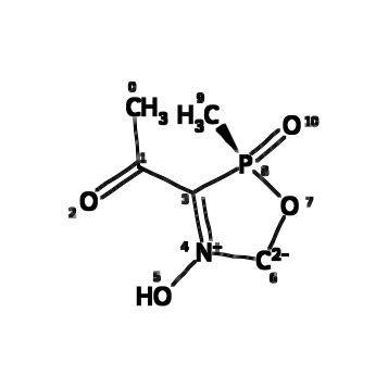 CC(=O)C1=[N+](O)[C-2]O[P@@]1(C)=O